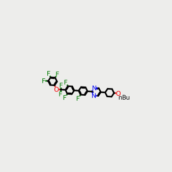 CCCCOC1CCC(c2cnc(-c3ccc(-c4cc(F)c(C(F)(F)Oc5cc(F)c(F)c(F)c5)c(F)c4)c(F)c3)nc2)CC1